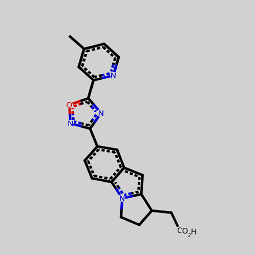 Cc1ccnc(-c2nc(-c3ccc4c(c3)cc3n4CCC3CC(=O)O)no2)c1